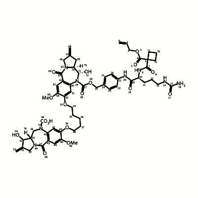 C=CCOC(=O)C1(C(=O)N[C@@H](CCCNC(N)=O)C(=O)Nc2ccc(COC(=O)N3c4cc(OCCCCCOc5cc6c(cc5OC)C(=O)N5CC(=C)C(O)[C@@H]5CN6C(=O)O)c(OC)cc4C(=O)N4CC(=C)C[C@H]4[C@@H]3O)cc2)CCC1